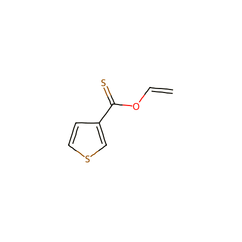 C=COC(=S)c1ccsc1